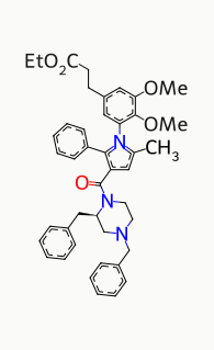 CCOC(=O)CCc1cc(OC)c(OC)c(-n2c(C)cc(C(=O)N3CCN(Cc4ccccc4)C[C@H]3Cc3ccccc3)c2-c2ccccc2)c1